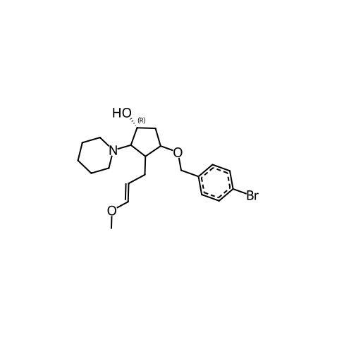 COC=CCC1C(OCc2ccc(Br)cc2)C[C@@H](O)C1N1CCCCC1